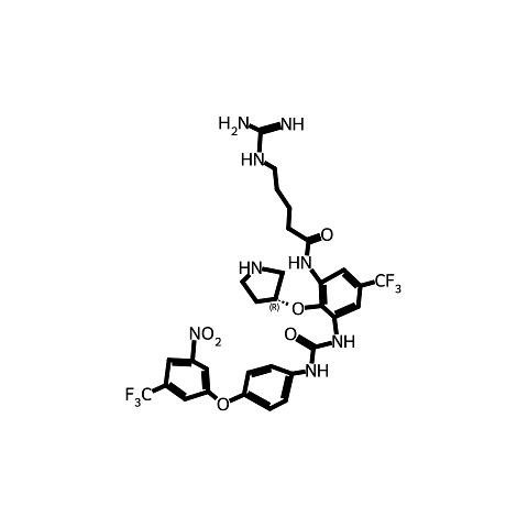 N=C(N)NCCCCC(=O)Nc1cc(C(F)(F)F)cc(NC(=O)Nc2ccc(Oc3cc([N+](=O)[O-])cc(C(F)(F)F)c3)cc2)c1O[C@@H]1CCNC1